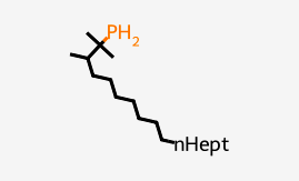 CCCCCCCCCCCCCCC(C)C(C)(C)P